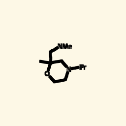 CNCC1(C)CN(C(C)C)CCO1